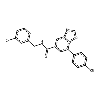 N#Cc1ccc(-c2cc(C(=O)NCc3cccc(Cl)c3)cc3ncnn23)cc1